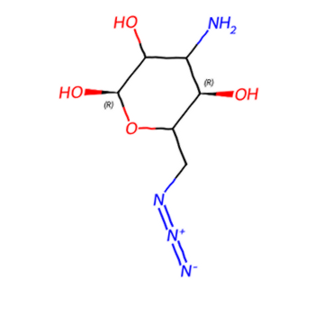 [N-]=[N+]=NCC1O[C@@H](O)C(O)C(N)[C@H]1O